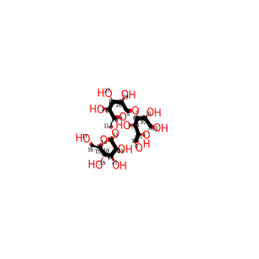 O=C[C@H](O)[C@@H](O)[C@H](OC1O[C@H](COC2O[C@H](CO)[C@@H](O)[C@H](O)[C@H]2O)[C@@H](O)[C@H](O)[C@H]1O)[C@H](O)CO